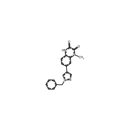 Cn1c(=O)c(=O)[nH]c2ccc(-c3cnn(Cc4ccccc4)c3)cc21